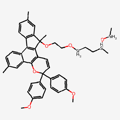 COc1ccc(C2(c3ccc(OC)cc3)C=Cc3c4c(c5ccc(C)cc5c3O2)-c2ccc(C)cc2C4(C)OCCO[SiH2]CC[SiH](C)O[SiH2]C)cc1